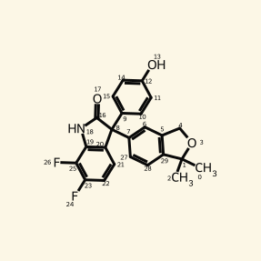 CC1(C)OCc2cc(C3(c4ccc(O)cc4)C(=O)Nc4c3ccc(F)c4F)ccc21